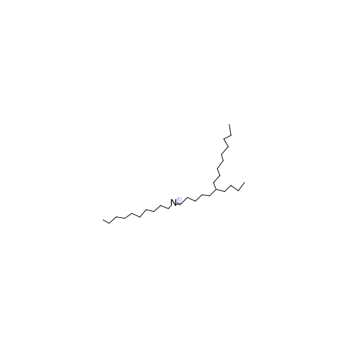 CCCCCCCCCC/N=C/CCCCC(CCCC)CCCCCCCCC